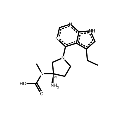 CCc1c[nH]c2ncnc(N3CC[C@](N)(N(C)C(=O)O)C3)c12